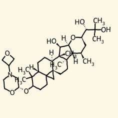 C[C@@H]1C[C@H]([C@H](O)C(C)(C)O)O[C@H]2[C@H]1[C@@]1(C)CC[C@@]34CC35CCC(O[C@H]3CN(C6COC6)CCO3)C(C)(C)[C@@H]5CC[C@H]4[C@]1(C)[C@H]2O